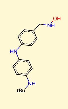 CC(C)(C)Nc1ccc(Nc2ccc(CNO)cc2)cc1